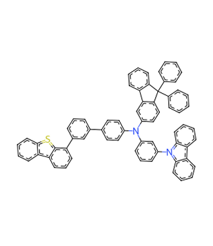 c1ccc(C2(c3ccccc3)c3ccccc3-c3cc(N(c4ccc(-c5cccc(-c6cccc7c6sc6ccccc67)c5)cc4)c4cccc(-n5c6ccccc6c6ccccc65)c4)ccc32)cc1